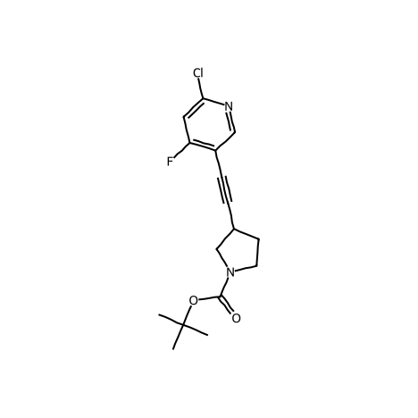 CC(C)(C)OC(=O)N1CCC(C#Cc2cnc(Cl)cc2F)C1